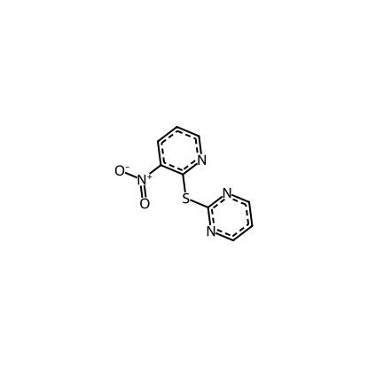 O=[N+]([O-])c1cccnc1Sc1ncccn1